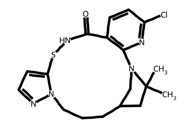 CC1(C)CC2CCCn3nccc3SNC(=O)c3ccc(Cl)nc3N1C2